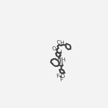 CC(CCC(=O)c1ccc(N/C2=C/CC/C=C\CCC3C(c4ccc(OC(F)F)cc4)=CN=C23)cc1I)CCC1CCCCCC1